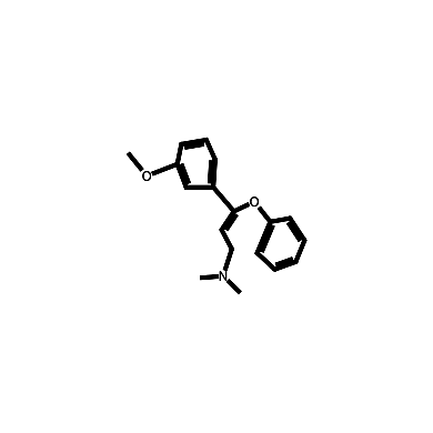 COc1cccc(C(=CCN(C)C)Oc2ccccc2)c1